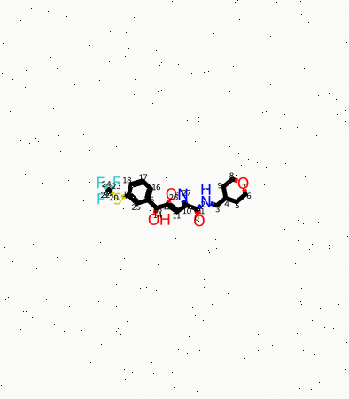 O=C(NCC1CCOCC1)c1cc(C(O)c2cccc(SC(F)(F)F)c2)on1